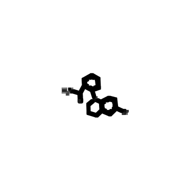 NC(=O)c1ccccc1N1CCCc2cc(Br)ccc21